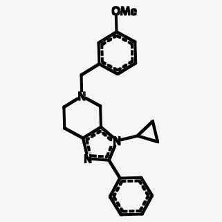 COc1cccc(CN2CCc3nc(-c4ccccc4)n(C4CC4)c3C2)c1